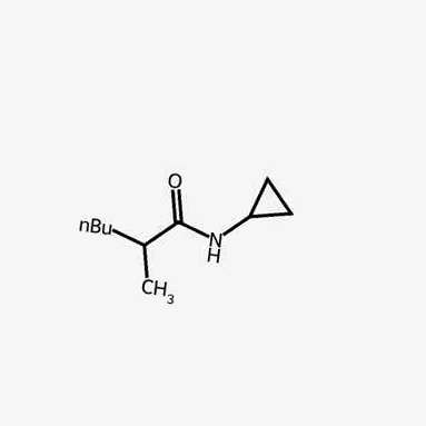 CCCCC(C)C(=O)NC1CC1